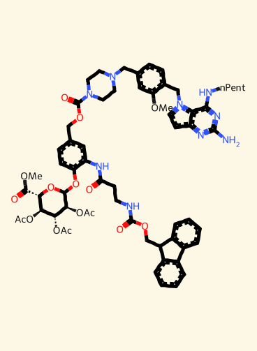 CCCCCNc1nc(N)nc2ccn(Cc3ccc(CN4CCN(C(=O)OCc5ccc(OC6O[C@@H](C(=O)OC)[C@H](OC(C)=O)[C@@H](OC(C)=O)[C@@H]6OC(C)=O)c(NC(=O)CCNC(=O)OCC6c7ccccc7-c7ccccc76)c5)CC4)cc3OC)c12